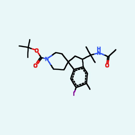 CC(=O)NC(C)(C)C1CC2(CCN(C(=O)OC(C)(C)C)CC2)c2cc(I)c(C)cc21